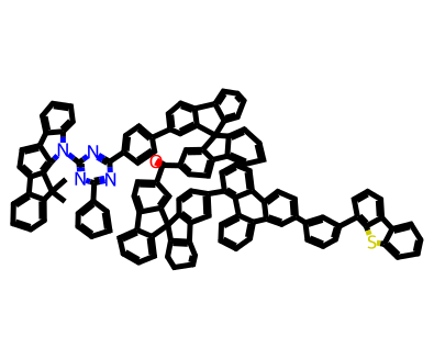 CC1(C)c2ccccc2-c2ccc3c4ccccc4n(-c4nc(-c5ccccc5)nc(-c5ccc(-c6ccc7c(c6)C6(c8ccccc8-c8ccc(C(=O)c9ccc%10c(c9)C9(C%11=C(C=CCC%11)c%11cc(-c%12cccc%13c%14ccc(-c%15cccc(-c%16cccc%17c%16sc%16ccccc%16%17)c%15)cc%14c%14ccccc%14c%12%13)ccc%119)c9ccccc9-%10)cc86)c6ccccc6-7)cc5)n4)c3c21